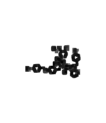 O=C(N[C@@H](Cc1ccc(OCc2ccc(Br)cc2)cc1)C(=O)S(=O)(=O)c1ccc(Cl)c([N+](=O)[O-])c1)c1cn(Cc2ccc(Br)cc2)c2ncccc12